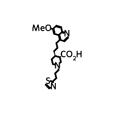 COc1ccc2nccc(CCC[C@@H]3CCN(CCCc4nccs4)C[C@@H]3C(=O)O)c2c1